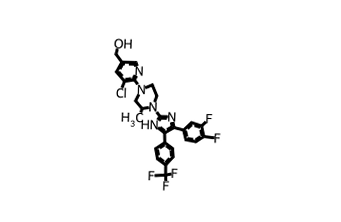 CC1CN(c2ncc(CO)cc2Cl)CCN1c1nc(-c2ccc(F)c(F)c2)c(-c2ccc(C(F)(F)F)cc2)[nH]1